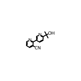 CC(C)(O)c1ccc(-c2ncccc2C#N)cn1